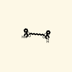 O=C(CCCCCCCCCC(=O)OC1(c2ccccc2)CCNCC1)OC1(c2ccccc2)CCNCC1